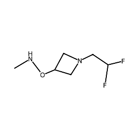 CNOC1CN(CC(F)F)C1